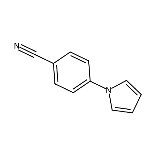 N#Cc1ccc(-n2cccc2)cc1